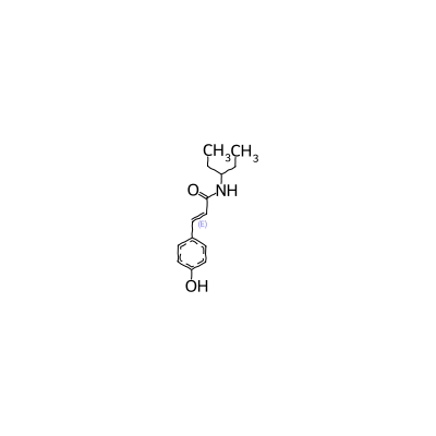 CCC(CC)NC(=O)/C=C/c1ccc(O)cc1